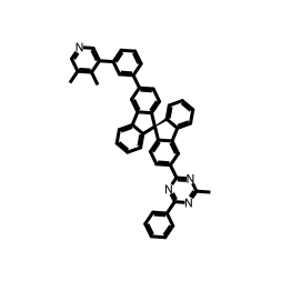 Cc1nc(-c2ccccc2)nc(-c2ccc3c(c2)-c2ccccc2[C@]32c3ccccc3-c3cc(-c4cccc(-c5cncc(C)c5C)c4)ccc32)n1